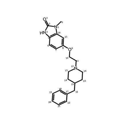 Cn1c(=O)[nH]c2ccc(OCCN3CCC(Cc4ccccc4)CC3)cc21